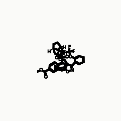 COC(=O)c1ccc2c(S(=O)(=O)N[C@@H]3[C@@H]4CC[C@H]3C[C@@H](OCc3c(-c5ccccc5OC(F)(F)F)noc3C3CC3)C4)cccc2c1